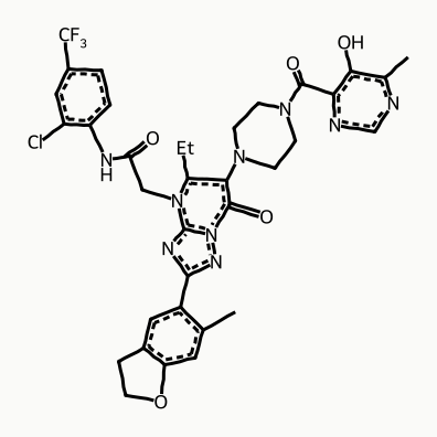 CCc1c(N2CCN(C(=O)c3ncnc(C)c3O)CC2)c(=O)n2nc(-c3cc4c(cc3C)OCC4)nc2n1CC(=O)Nc1ccc(C(F)(F)F)cc1Cl